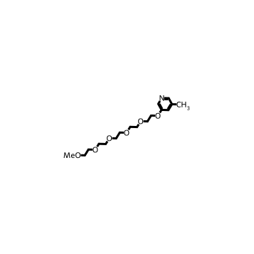 COCCOCCOCCOCCOCCOc1cncc(C)c1